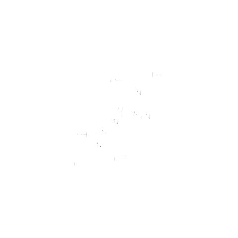 CCCCCCCCCCCCN(CCCCCCCCCCCC)CCN(CCCCCCCCC)CC(=O)N1CCN([C@@H](C=O)N(CCCCCCCCCCCC)CCCCCCCCCCCC)CC1